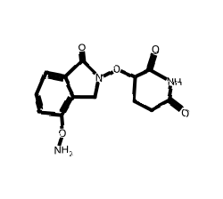 NOc1cccc2c1CN(OC1CCC(=O)NC1=O)C2=O